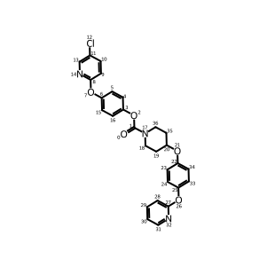 O=C(Oc1ccc(Oc2ccc(Cl)cn2)cc1)N1CCC(Oc2ccc(Oc3ccccn3)cc2)CC1